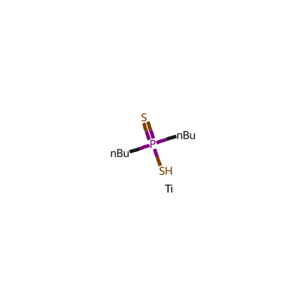 CCCCP(=S)(S)CCCC.[Ti]